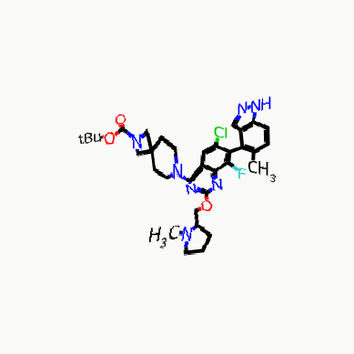 Cc1ccc2[nH]ncc2c1-c1c(Cl)cc2c(N3CCC4(CC3)CN(C(=O)OC(C)(C)C)C4)nc(OCC3CCCN3C)nc2c1F